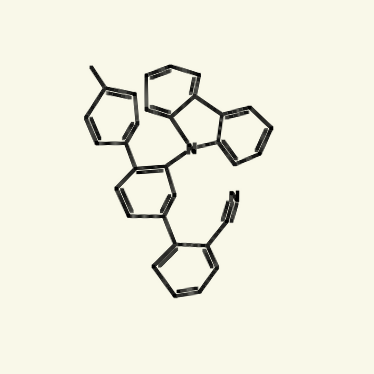 Cc1ccc(-c2ccc(-c3ccccc3C#N)cc2-n2c3ccccc3c3ccccc32)cc1